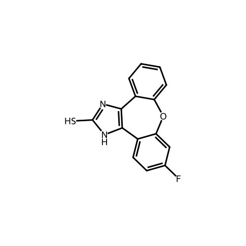 Fc1ccc2c(c1)Oc1ccccc1-c1nc(S)[nH]c1-2